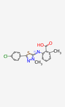 Cc1cccc(/N=c2/sc(-c3ccc(Cl)cc3)nn2C)c1C(=O)O